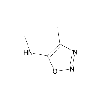 CNc1onnc1C